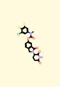 CN(C(=O)Oc1ccc2c(c1)C(=O)N(C1CCC(=O)NC1=O)C2)c1cc(F)c(F)c(Cl)c1